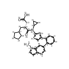 Cn1ccc2ncc(-c3ccccc3-c3csc(N(C(=O)[C@@H](CC(=O)O)CC4CCCC4)C4CC4)n3)cc21